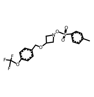 Cc1ccc(S(=O)(=O)ON2CC(OCc3ccc(OC(F)(F)F)cc3)C2)cc1